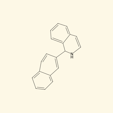 C1=Cc2ccccc2C(c2ccc3ccccc3c2)N1